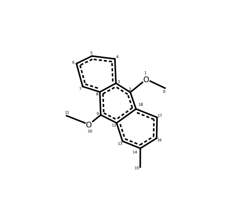 COc1c2ccccc2c(OC)c2cc(C)ccc12